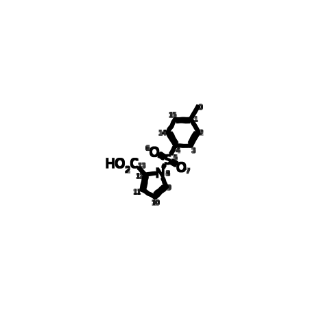 Cc1ccc(S(=O)(=O)n2cccc2C(=O)O)cc1